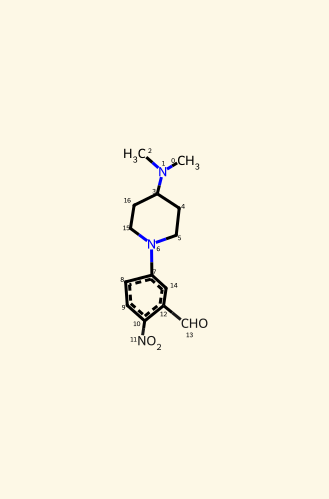 CN(C)C1CCN(c2ccc([N+](=O)[O-])c(C=O)c2)CC1